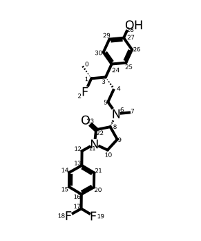 C[C@@H](F)[C@@H](CCN(C)[C@@H]1CCN(Cc2ccc(C(F)F)cc2)C1=O)c1ccc(O)cc1